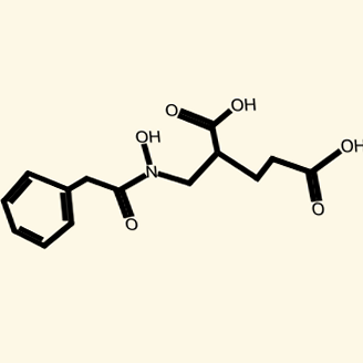 O=C(O)CCC(CN(O)C(=O)Cc1ccccc1)C(=O)O